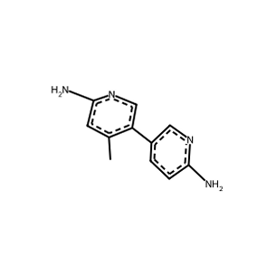 Cc1cc(N)ncc1-c1ccc(N)nc1